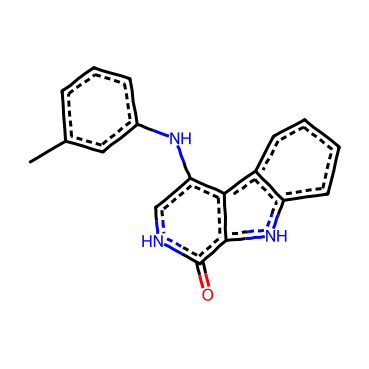 Cc1cccc(Nc2c[nH]c(=O)c3[nH]c4ccccc4c23)c1